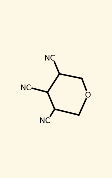 N#CC1COCC(C#N)C1C#N